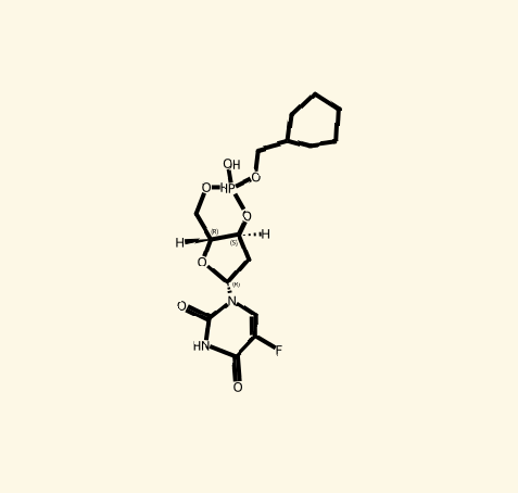 O=c1[nH]c(=O)n([C@H]2C[C@@H]3O[PH](O)(OCC4CCCCC4)OC[C@H]3O2)cc1F